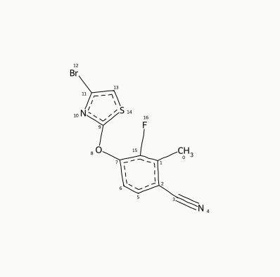 Cc1c(C#N)ccc(Oc2nc(Br)cs2)c1F